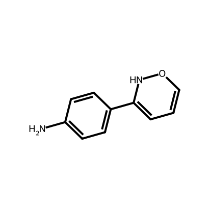 Nc1ccc(C2=CC=CON2)cc1